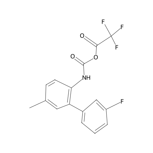 Cc1ccc(NC(=O)OC(=O)C(F)(F)F)c(-c2cccc(F)c2)c1